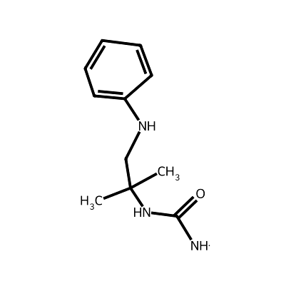 CC(C)(CNc1ccccc1)NC([NH])=O